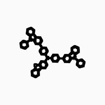 c1ccc(-n2c3ccccc3c3cc(-c4ccc(N(c5ccc(-c6ccc7c8ccccc8n(-c8ccccc8)c7c6)cc5)c5ccc6c(c5)oc5ccccc56)cc4)ccc32)cc1